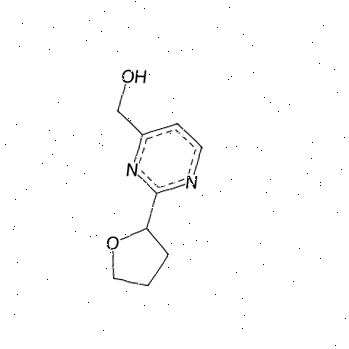 OCc1ccnc(C2CCCO2)n1